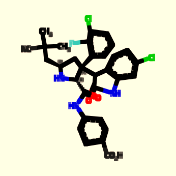 CC(C)(C#N)C[C@H]1C[C@](c2cccc(Cl)c2F)(C2C(=O)Nc3cc(Cl)ccc32)[C@H](C(=O)Nc2ccc(C(=O)O)cc2)N1